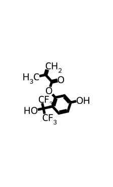 C=C(C)C(=O)Oc1cc(O)ccc1C(O)(C(F)(F)F)C(F)(F)F